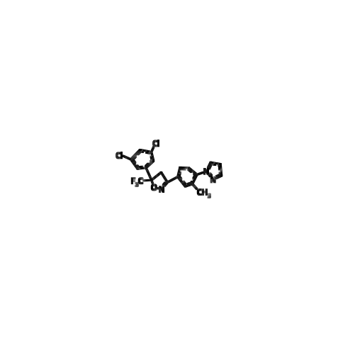 Cc1cc(C2=NOC(c3cc(Cl)cc(Cl)c3)(C(F)(F)F)C2)ccc1-n1cccn1